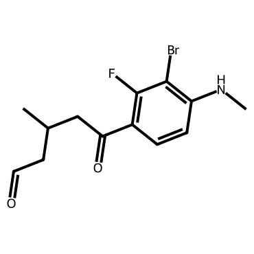 CNc1ccc(C(=O)CC(C)CC=O)c(F)c1Br